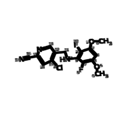 COc1cc(OC)c(F)c(NCc2cnc(C#N)cc2Cl)c1F